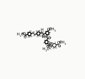 CCN(C1CCC(C(=O)OC)CC1)S(=O)(=O)c1cccc(C(=O)Nc2ccc(OC)cc2C(=O)Nc2ccc(CCc3ccc(C(=O)OC)cc3)cc2)c1